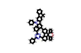 CC1(C)c2ccccc2-c2cc3c(cc21)c1cc(-c2ccc4c(c2)-c2c(-c5nc(-c6ccccc6)nc(-c6ccccc6)n5)cccc2C42c4ccccc4Oc4ccccc42)ccc1n3-c1ccccc1